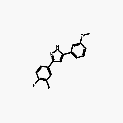 COc1cccc(-c2cc(-c3ccc(F)c(F)c3)n[nH]2)c1